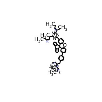 C=C/C=C\C(=C)c1nc(/C(C=C)=C/C=C)nc(-c2ccc3c(c2)C2(c4cc(-c5ccc(CC(/C=C\C)=C(\C=C/C)NC)cc5)ccc4O3)c3ccccc3-c3ccccc32)n1